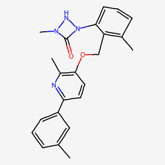 Cc1cccc(-c2ccc(OCc3c(C)cccc3-n3[nH]n(C)c3=O)c(C)n2)c1